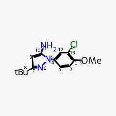 COc1ccc(-n2nc(C(C)(C)C)cc2N)cc1Cl